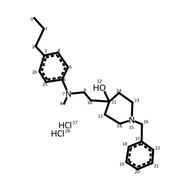 CCCc1ccc(N(C)CCC2(O)CCN(Cc3ccccc3)CC2)cc1.Cl.Cl